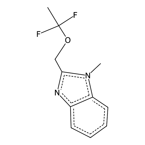 Cn1c(COC(C)(F)F)nc2ccccc21